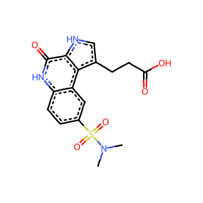 CN(C)S(=O)(=O)c1ccc2[nH]c(=O)c3[nH]cc(CCC(=O)O)c3c2c1